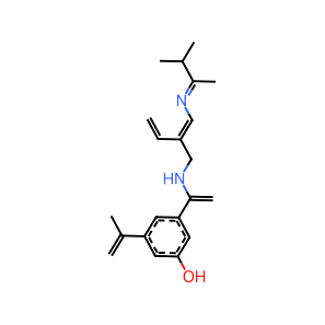 C=C/C(=C\N=C(/C)C(C)C)CNC(=C)c1cc(O)cc(C(=C)C)c1